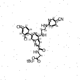 CC(C)(C)OC(=O)CNC(=O)c1cc2c(NCCNc3ccc(C#N)cn3)nc(-c3ccc(Cl)cc3Cl)cn2n1